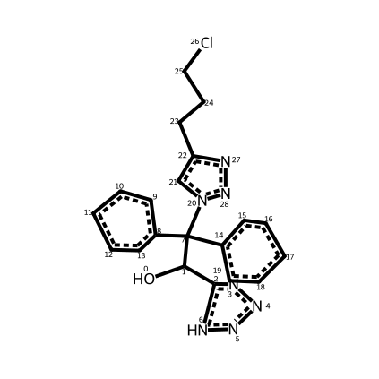 OC(c1nnn[nH]1)C(c1ccccc1)(c1ccccc1)n1cc(CCCCl)nn1